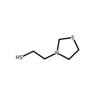 SCCN1CCSC1